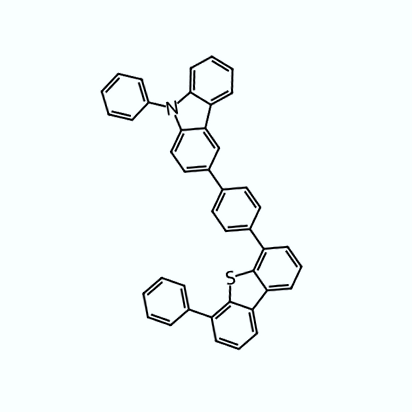 c1ccc(-c2cccc3c2sc2c(-c4ccc(-c5ccc6c(c5)c5ccccc5n6-c5ccccc5)cc4)cccc23)cc1